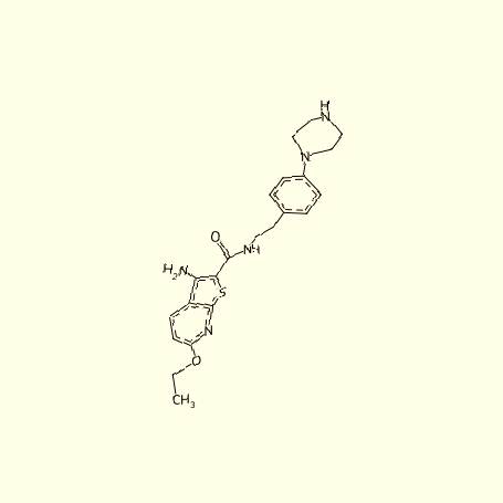 CCOc1ccc2c(N)c(C(=O)NCCc3ccc(N4CCNCC4)cc3)sc2n1